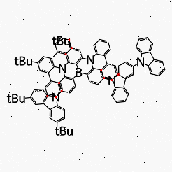 CC(C)(C)c1cc(-c2ccccc2)c(N2c3cc(-n4c5ccc(C(C)(C)C)cc5c5cc(C(C)(C)C)ccc54)ccc3B3c4ccc(-n5c6ccccc6c6cc(-n7c8ccccc8c8ccccc87)ccc65)cc4N(c4ccccc4-c4ccccc4)c4cc(C(C)(C)C)cc2c43)c(-c2ccccc2)c1